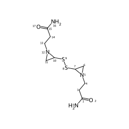 NC(=O)CCN1CC1SSC1CN1CCC(N)=O